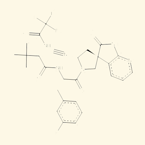 C#[N+][C@@H]1C[C@@]2(CN1C(=O)[C@H](Cc1cccc(F)c1)NC(=O)[C@@H](NC(=O)C(F)(F)F)C(C)(C)C)C(=O)Nc1ncccc12